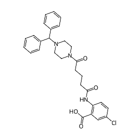 O=C(CCCC(=O)N1CCN(C(c2ccccc2)c2ccccc2)CC1)Nc1ccc(Cl)cc1C(=O)O